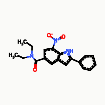 CCN(CC)C(=O)c1cc([N+](=O)[O-])c2[nH]c(-c3ccccc3)cc2c1